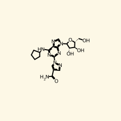 NC(=O)c1cnn(-c2nc(NC3CCCC3)c3ncn(C4O[C@H](CO)[C@@H](O)[C@@H]4O)c3n2)c1